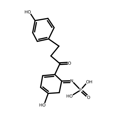 O=C(CCc1ccc(O)cc1)C1=CC=C(O)CC1=NP(=O)(O)O